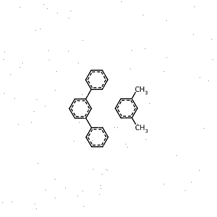 Cc1cccc(C)c1.c1ccc(-c2cccc(-c3ccccc3)c2)cc1